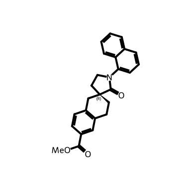 COC(=O)c1ccc2c(c1)CC[C@]1(CCN(c3cccc4ccccc34)C1=O)C2